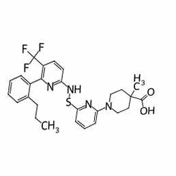 CCCc1ccccc1-c1nc(NSc2cccc(N3CCC(C)(C(=O)O)CC3)n2)ccc1C(F)(F)F